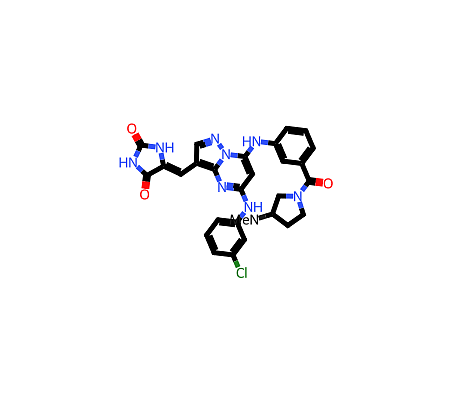 CNC1CCN(C(=O)c2cccc(Nc3cc(Nc4cccc(Cl)c4)nc4c(/C=C5\NC(=O)NC5=O)cnn34)c2)C1